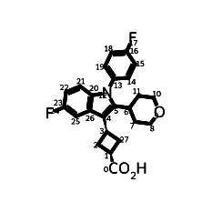 O=C(O)[C@H]1C[C@@H](c2c(C3CCOCC3)n(-c3ccc(F)cc3)c3ccc(F)cc32)C1